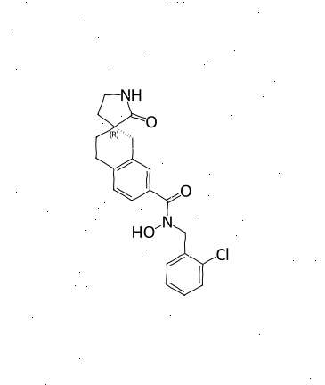 O=C(c1ccc2c(c1)C[C@@]1(CCNC1=O)CC2)N(O)Cc1ccccc1Cl